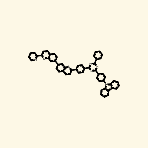 c1ccc(-c2nc(-c3ccc(-c4ccc5ccc(-c6ccc7ccc(-c8ccccn8)nc7c6)cc5n4)cc3)nc(-c3ccc(-n4c5ccccc5c5ccccc54)cc3)n2)cc1